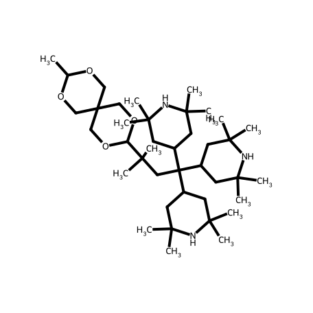 CC1OCC2(CO1)COC(C(C)(C)CC(C1CC(C)(C)NC(C)(C)C1)(C1CC(C)(C)NC(C)(C)C1)C1CC(C)(C)NC(C)(C)C1)OC2